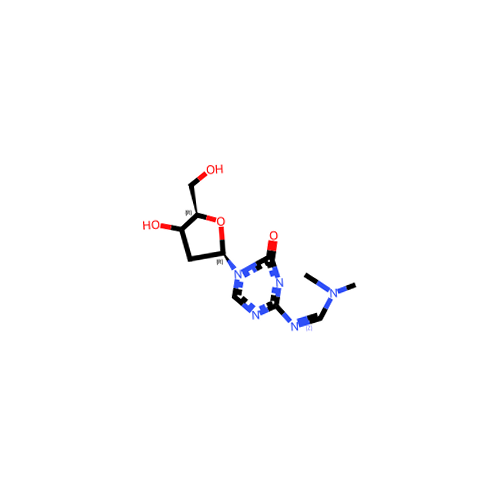 CN(C)/C=N\c1ncn([C@H]2CC(O)[C@@H](CO)O2)c(=O)n1